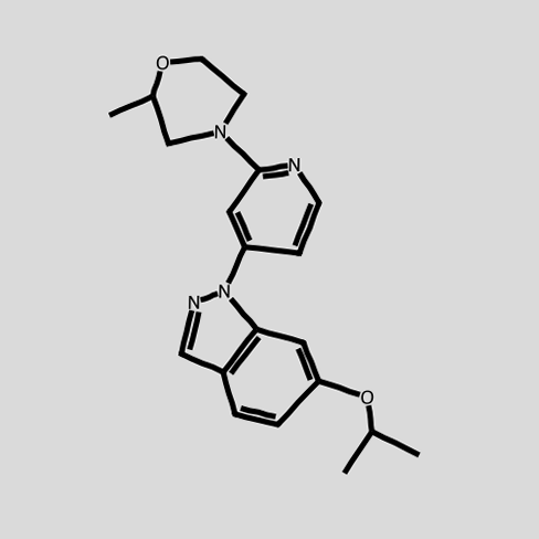 CC(C)Oc1ccc2cnn(-c3ccnc(N4CCOC(C)C4)c3)c2c1